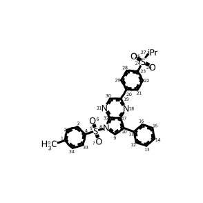 Cc1ccc(S(=O)(=O)n2cc(-c3ccccc3)c3nc(-c4ccc(S(=O)(=O)C(C)C)cc4)cnc32)cc1